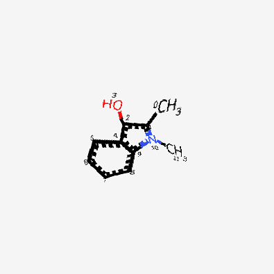 Cc1c(O)c2ccccc2n1C